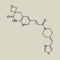 O=C(/C=C/c1cnc2c(c1)CC1(COC1)C(=O)N2)N1CCC(=Cc2cscn2)CC1